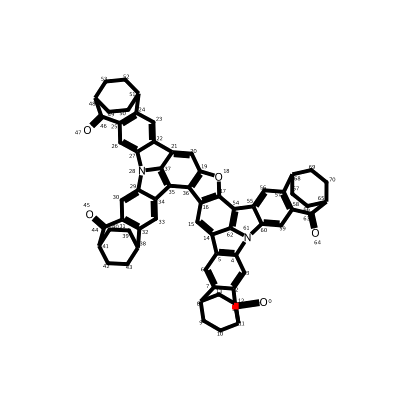 O=C1c2cc3c(cc2C2CCC1CC2)c1cc2c(oc4cc5c6cc7c(cc6n6c8cc9c(cc8c(c42)c56)C2CCC(CC2)C9=O)C(=O)C2CCC7CC2)c2c4cc5c(cc4n3c12)C(=O)C1CCC5CC1